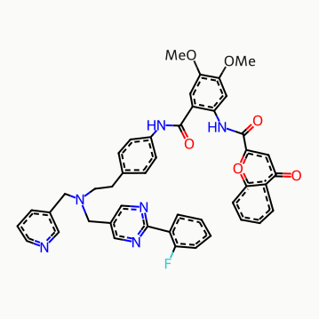 COc1cc(NC(=O)c2cc(=O)c3ccccc3o2)c(C(=O)Nc2ccc(CCN(Cc3cccnc3)Cc3cnc(-c4ccccc4F)nc3)cc2)cc1OC